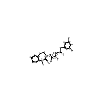 C[C@H](NC(=O)Cc1cc(F)cc(F)c1)C(=O)N[C@H]1CCc2ccccc2N(C)C1=O